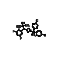 CC(C)(O)C(c1cc(F)cc(F)c1)C1CN(C(C)(c2ccc(Cl)cc2)c2ccc(Cl)cc2)C1